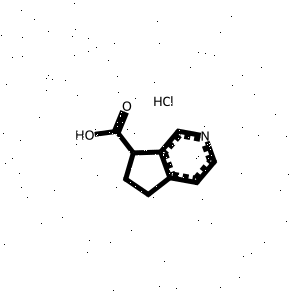 Cl.O=C(O)C1CCc2ccncc21